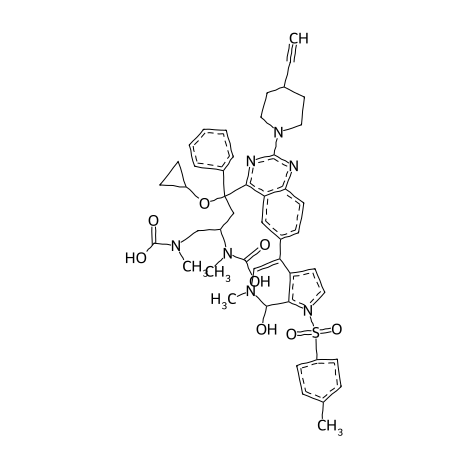 C#CC1CCN(c2nc(C(CC(CN(C)C(=O)O)N(C)C(=O)O)(OC3CC3)c3ccccc3)c3cc(C4=CN(C)C(O)c5c4ccn5S(=O)(=O)c4ccc(C)cc4)ccc3n2)CC1